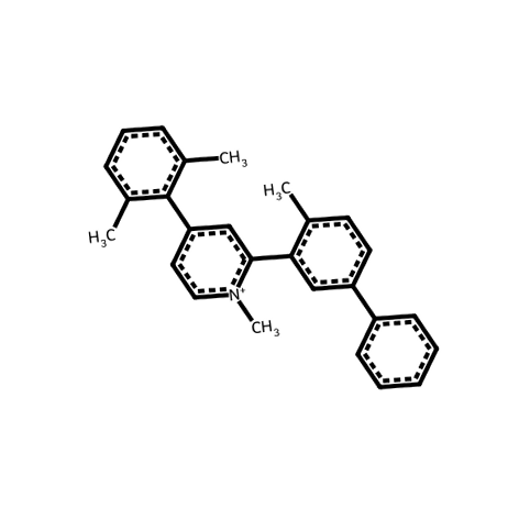 Cc1ccc(-c2ccccc2)cc1-c1cc(-c2c(C)cccc2C)cc[n+]1C